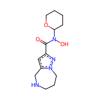 O=C(c1cc2n(n1)CCCNC2)N(O)C1CCCCO1